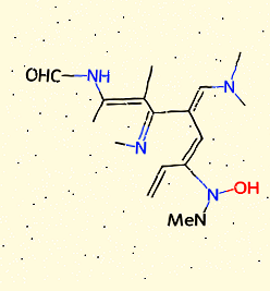 C=C/C(=C\C(=C/N(C)C)C(=NC)/C(C)=C(\C)NC=O)N(O)NC